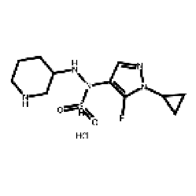 Cl.O=[SH](=O)N(NC1CCCNC1)c1cnn(C2CC2)c1F